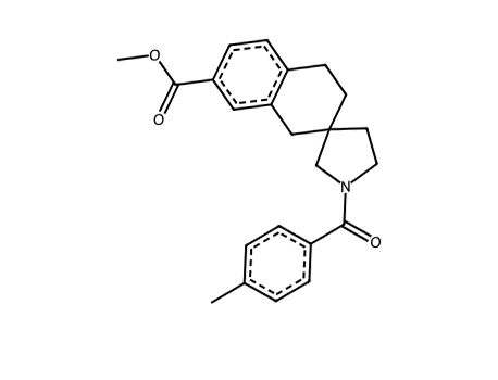 COC(=O)c1ccc2c(c1)CC1(CC2)CCN(C(=O)c2ccc(C)cc2)C1